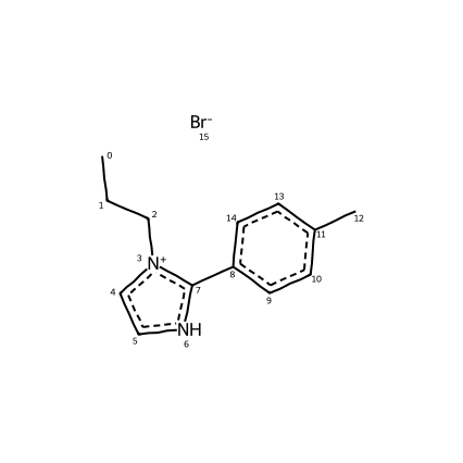 CCC[n+]1cc[nH]c1-c1ccc(C)cc1.[Br-]